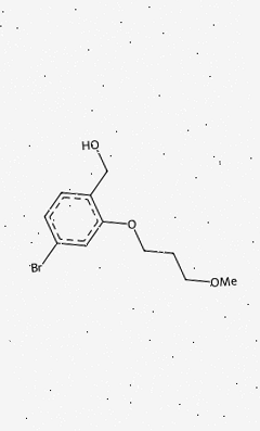 COCCCOc1cc(Br)ccc1CO